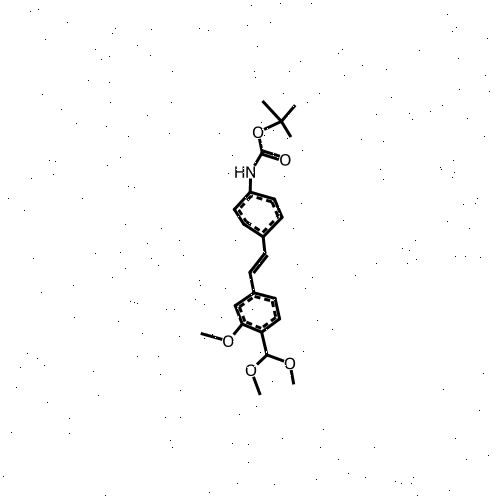 COc1cc(C=Cc2ccc(NC(=O)OC(C)(C)C)cc2)ccc1C(OC)OC